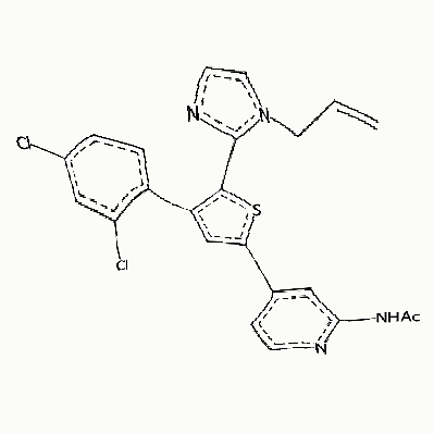 C=CCn1ccnc1-c1sc(-c2ccnc(NC(C)=O)c2)cc1-c1ccc(Cl)cc1Cl